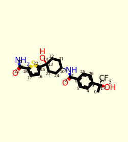 C[C@](O)(c1ccc(C(=O)N[C@H]2CC[C@@](O)(c3ccc(C(N)=O)s3)CC2)cc1)C(F)(F)F